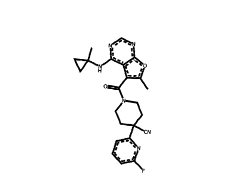 Cc1oc2ncnc(NC3(C)CC3)c2c1C(=O)N1CCC(C#N)(c2cccc(F)n2)CC1